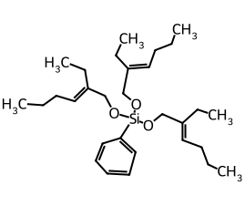 CCCC=C(CC)CO[Si](OCC(=CCCC)CC)(OCC(=CCCC)CC)c1ccccc1